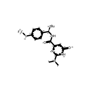 CN(C)c1nc(C(=O)N[C@@H](c2ccc(SC(F)(F)F)cc2)C(C)(C)C)cc(=O)[nH]1